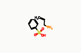 C=CCP.O=S(=O)(O)c1ccccc1